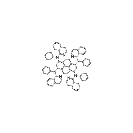 c1ccc(N(c2nccc3ccccc23)c2cc(N(c3ccccc3)c3nccc4ccccc34)c3ccc4c(N(c5ccccc5)c5nccc6ccccc56)cc(N(c5ccccc5)c5nccc6ccccc56)c5ccc2c3c54)cc1